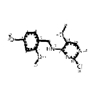 COc1ccc(CNc2nc(Cl)ncc2OC)c(OC)c1